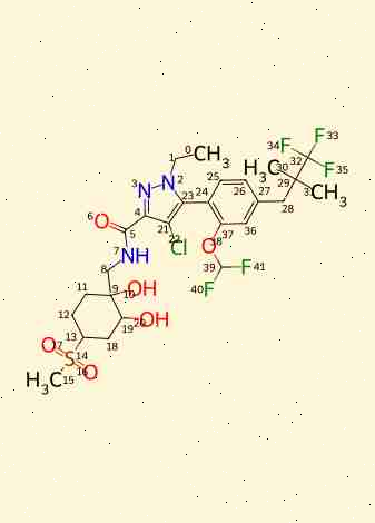 CCn1nc(C(=O)NCC2(O)CCC(S(C)(=O)=O)CC2O)c(Cl)c1-c1ccc(CC(C)(C)C(F)(F)F)cc1OC(F)F